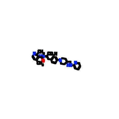 Cc1ccnc(C)c1C(=O)N[C@@H](Cc1ccc(N2CCC(CNc3ccccn3)CC2)cc1)C(=O)O